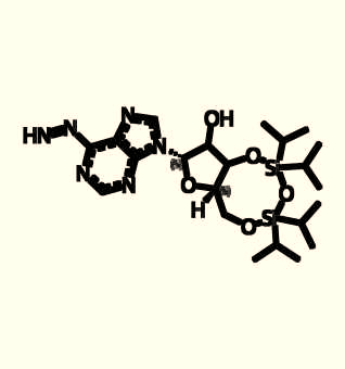 CC(C)[Si]1(C(C)C)OC[C@@H]2O[C@H](n3cnc4c(N=N)ncnc43)C(O)C2O[Si](C(C)C)(C(C)C)O1